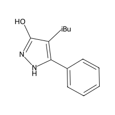 CCC(C)c1c(O)n[nH]c1-c1ccccc1